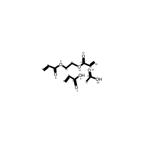 C=CC(=O)O.C=CC(=O)OCCOC(=O)C=C.CC(=O)O